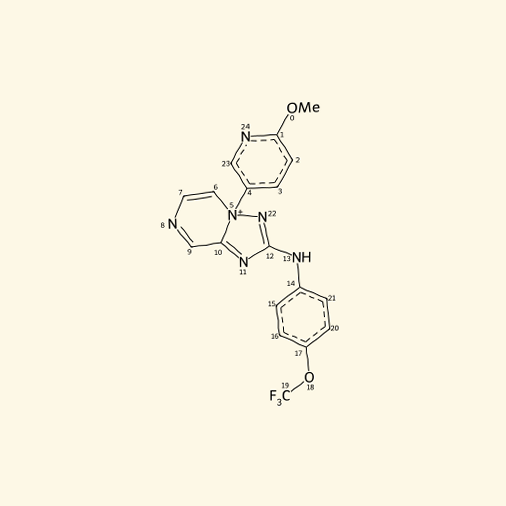 COc1ccc([N+]23C=CN=CC2=NC(Nc2ccc(OC(F)(F)F)cc2)=N3)cn1